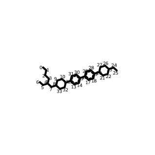 CCCCC(CC)CC1CCC(c2ccc(-c3ccc(C4CCC(CC)CC4)cc3)cc2)CC1